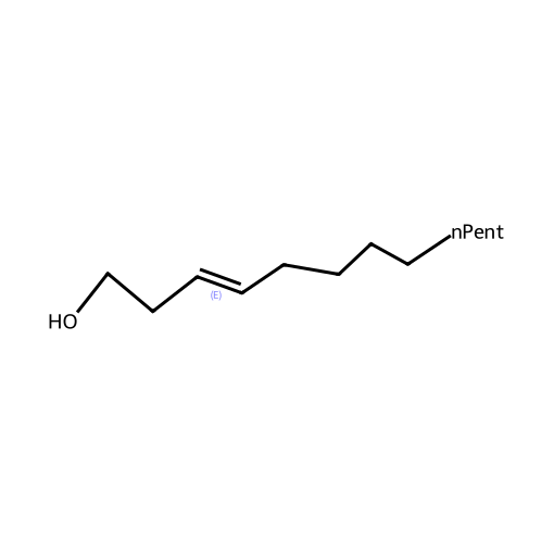 CCCCCCCCC/C=C/CCO